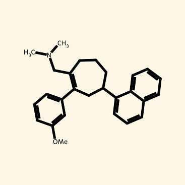 COc1cccc(C2=C(CN(C)C)CCCC(c3cccc4ccccc34)C2)c1